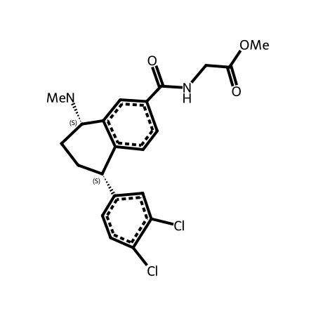 CN[C@H]1CC[C@@H](c2ccc(Cl)c(Cl)c2)c2ccc(C(=O)NCC(=O)OC)cc21